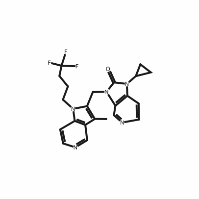 Cc1c(Cn2c(=O)n(C3CC3)c3ccncc32)n(CCCC(F)(F)F)c2ccncc12